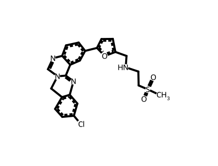 CS(=O)(=O)CCNCc1ccc(-c2ccc3c(c2)C2=Nc4cc(Cl)ccc4CN2C=N3)o1